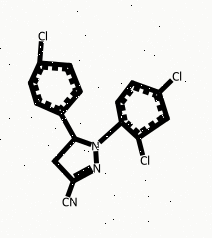 N#CC1=NN(c2ccc(Cl)cc2Cl)C(c2ccc(Cl)cc2)C1